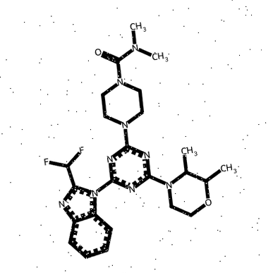 CC1OCCN(c2nc(N3CCN(C(=O)N(C)C)CC3)nc(-n3c(C(F)F)nc4ccccc43)n2)C1C